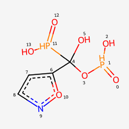 O=[PH](O)OC(O)(c1ccno1)[PH](=O)O